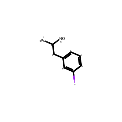 CCCC(Cc1cccc(I)c1)N=O